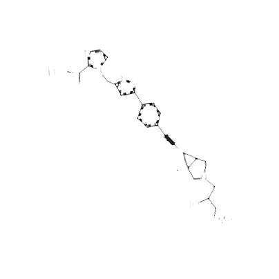 COCC(O)CN1C[C@@H]2[C@H](C#Cc3ccc(-c4cc(Cn5ccnc5[C@H](C)O)no4)cc3)[C@@H]2C1